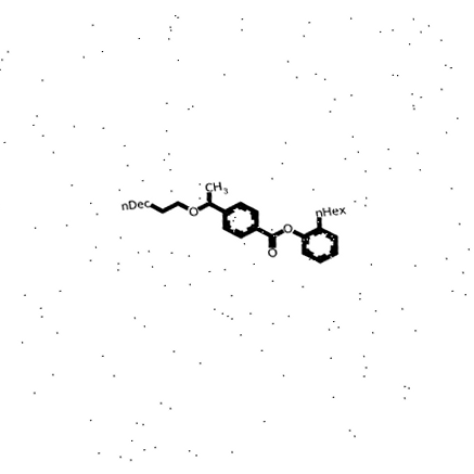 CCCCCCCCCCCCOC(C)c1ccc(C(=O)Oc2ccccc2CCCCCC)cc1